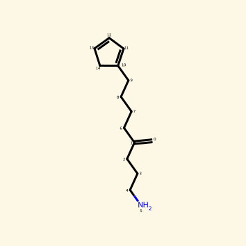 C=C(CCCN)CCCCC1=CC=CC1